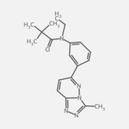 CCN(C(=O)C(C)(C)C)c1cccc(-c2ccc3nnc(C)n3n2)c1